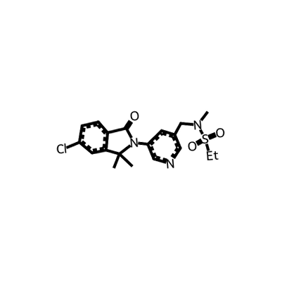 CCS(=O)(=O)N(C)Cc1cncc(N2C(=O)c3ccc(Cl)cc3C2(C)C)c1